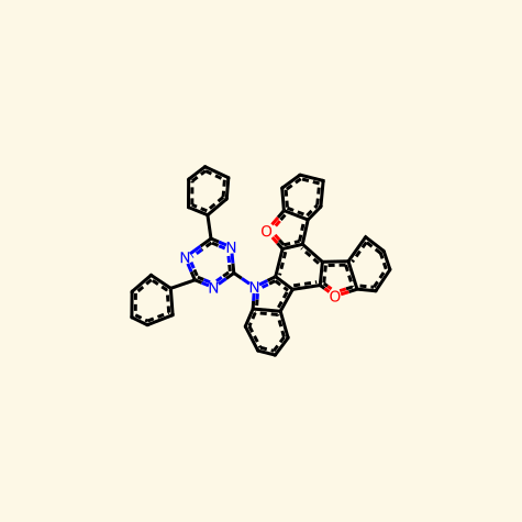 c1ccc(-c2nc(-c3ccccc3)nc(-n3c4ccccc4c4c5oc6ccccc6c5c5c6ccccc6oc5c43)n2)cc1